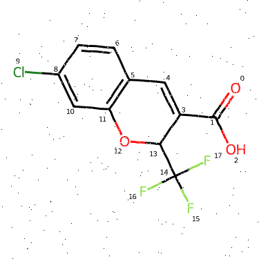 O=C(O)C1=Cc2ccc(Cl)cc2OC1C(F)(F)F